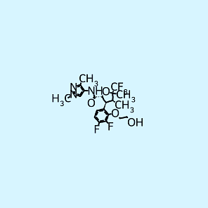 Cc1nn(C)cc1NC(=O)[C@@H]1O[C@@](C)(C(F)(F)F)[C@@H](C)[C@H]1c1ccc(F)c(F)c1OCCO